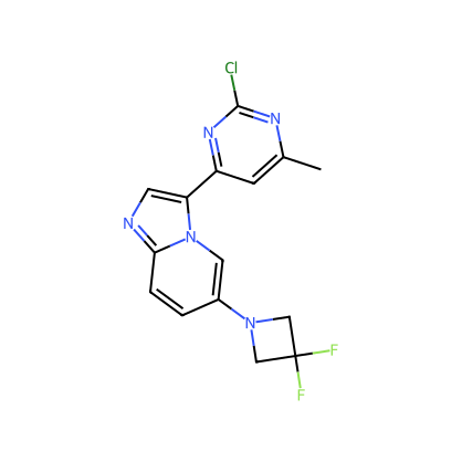 Cc1cc(-c2cnc3ccc(N4CC(F)(F)C4)cn23)nc(Cl)n1